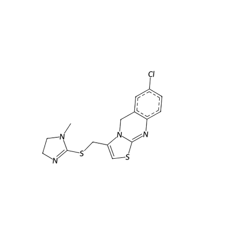 CN1CCN=C1SCC1=CSC2=Nc3ccc(Cl)cc3CN12